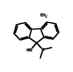 CN(C)C1(O)c2ccccc2-c2ccccc21.[CH3]